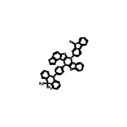 CCn1c2ccccc2c2ccc(B3c4oc5ccc6sccc6c5c4B(c4ccc(N5c6ccccc6C(C)(C)c6ccccc65)cc4)c4oc5ccccc5c43)cc21